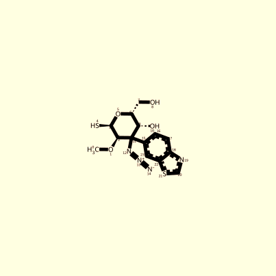 CO[C@H]1[C@@H](S)O[C@H](CO)[C@H](O)C1(N=[N+]=[N-])c1ccc2ncsc2c1